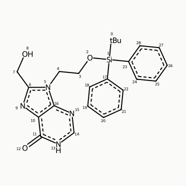 CC(C)(C)[Si](OCCn1c(CO)nc2c(=O)[nH]cnc21)(c1ccccc1)c1ccccc1